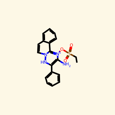 CCS(=O)(=O)O[N+]1=C2c3ccccc3C=CN2NC(c2ccccc2)=C1N